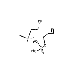 C=CCOP(=O)(O)O.C[N+](C)(C)CCO